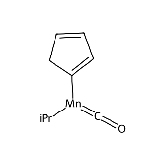 C[CH](C)[Mn](=[C]=O)[C]1=CC=CC1